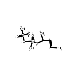 CC=CC(C)OP(=O)(O)OP(=O)(O)O